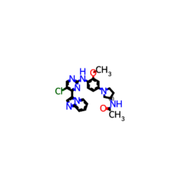 COc1cc(N2CC[C@@H](NC(C)=O)C2)ccc1Nc1ncc(Cl)c(-c2cnc3ccccn23)n1